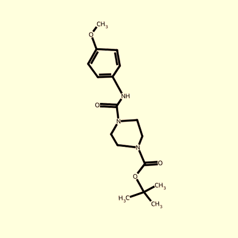 COc1ccc(NC(=O)N2CCN(C(=O)OC(C)(C)C)CC2)cc1